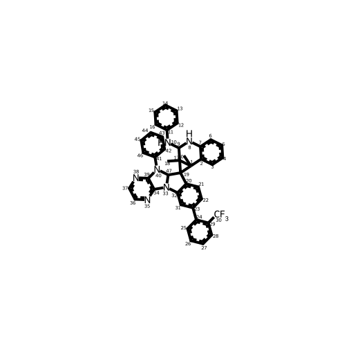 CC12c3ccccc3NC(Nc3ccccc3)C1(C)C21c2ccc(-c3ccccc3C(F)(F)F)cc2N2c3nccnc3N(c3ccccc3)C21